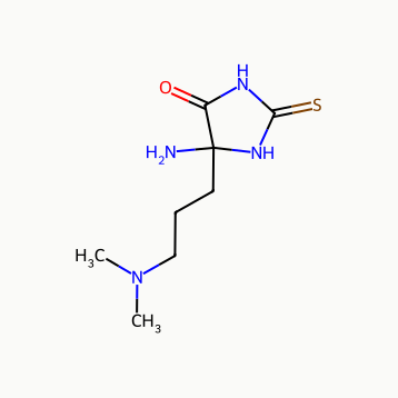 CN(C)CCCC1(N)NC(=S)NC1=O